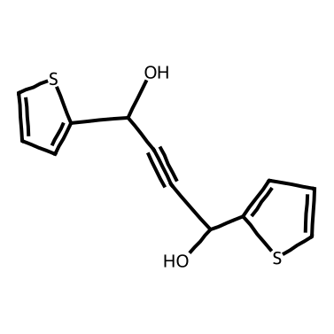 OC(C#CC(O)c1cccs1)c1cccs1